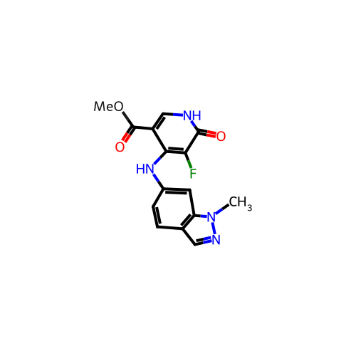 COC(=O)c1c[nH]c(=O)c(F)c1Nc1ccc2cnn(C)c2c1